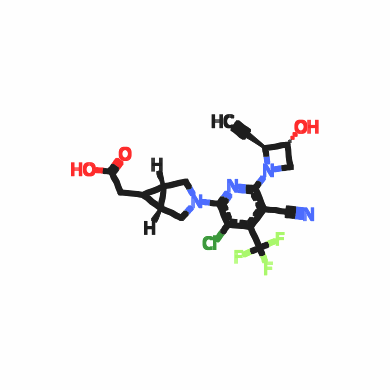 C#C[C@H]1[C@H](O)CN1c1nc(N2C[C@@H]3C(CC(=O)O)[C@@H]3C2)c(Cl)c(C(F)(F)F)c1C#N